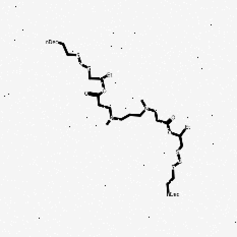 CCCCCCCCCCCCSSSCC(CC)OC(=O)CCN(C)CCCN(C)CCC(=O)OC(CC)CSSSCCCCCCCCCCCC